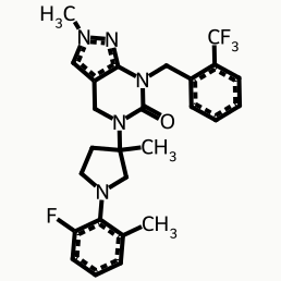 Cc1cccc(F)c1N1CCC(C)(N2Cc3cn(C)nc3N(Cc3ccccc3C(F)(F)F)C2=O)C1